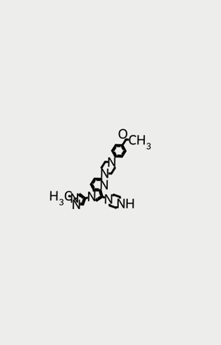 CC(=O)c1ccc(N2CCN(c3ccc4c(n3)c(N3CCNCC3)cn4-c3cnn(C)c3)CC2)cc1